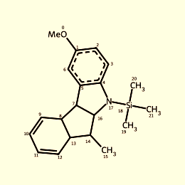 COc1ccc2c(c1)C1C3C=CC=CC3C(C)C1N2[Si](C)(C)C